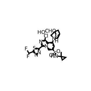 CC1(NS(=O)(=O)c2cc(N3CC4CC(C3)N4)c3c(Cl)nc(-c4nnc(C(F)F)s4)n3c2)CC1.O=CO